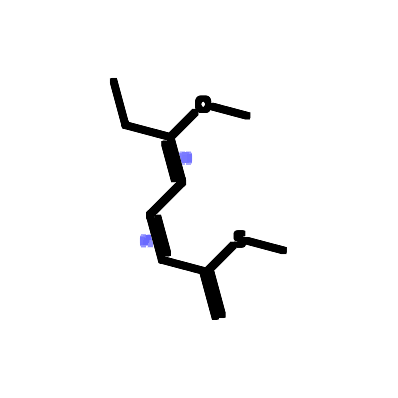 C=C(/C=C\C=C(/CC)OC)SC